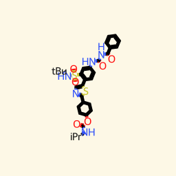 CC(C)NC(=O)OC1CCC(c2ncc(-c3ccc(NC(=O)NC(=O)c4ccccc4)cc3S(=O)(=O)NC(C)(C)C)s2)CC1